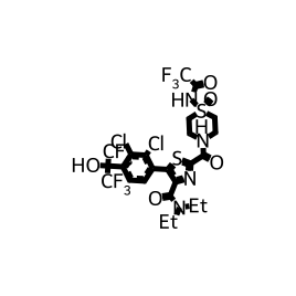 CCN(CC)C(=O)c1nc(C(=O)N2CC[SH](=O)(NC(=O)C(F)(F)F)CC2)sc1-c1ccc(C(O)(C(F)(F)F)C(F)(F)F)c(Cl)c1Cl